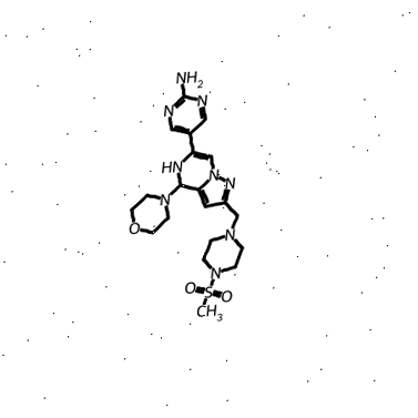 CS(=O)(=O)N1CCN(Cc2cc3n(n2)C=C(c2cnc(N)nc2)NC3N2CCOCC2)CC1